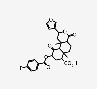 CC12CCC3C(=O)OC(c4ccoc4)CC3(C)C1C(=O)C(OC(=O)c1ccc(F)cc1)CC2C(=O)O